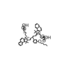 CCCCCOc1cccc(C(=C\C=C2\N(CCCS(=O)(=O)O)c3ccc4ccccc4c3C2(C)C)/C=C/C2=[N+](CCCSOOO)c3ccc4ccccc4c3C2(C)C)c1